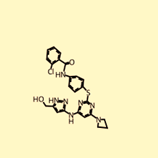 O=C(Nc1ccc(Sc2nc(Nc3cc(CO)[nH]n3)cc(N3CCC3)n2)cc1)c1ccccc1Cl